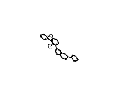 Clc1c(-c2ccc3ccc(-c4ccccc4)cc3c2)ccc2oc3ccccc3c12